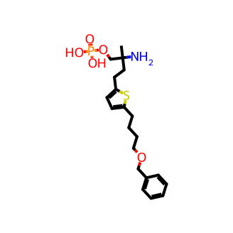 CC(N)(CCc1ccc(CCCCOCc2ccccc2)s1)COP(=O)(O)O